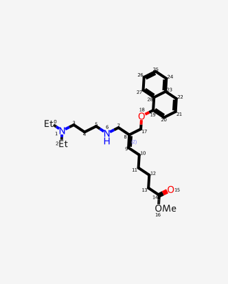 CCN(CC)CCCNC/C(=C/CCCCC(=O)OC)COc1cccc2ccccc12